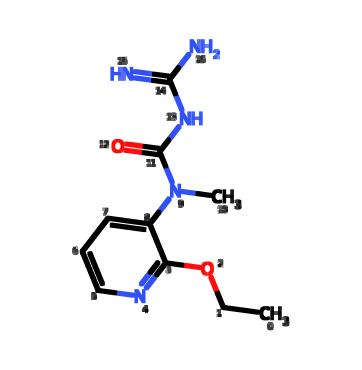 CCOc1ncccc1N(C)C(=O)NC(=N)N